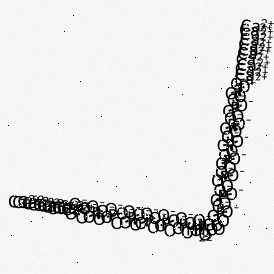 O.O.O.O=P([O-])([O-])[O-].O=P([O-])([O-])[O-].O=P([O-])([O-])[O-].O=P([O-])([O-])[O-].O=P([O-])([O-])[O-].O=P([O-])([O-])[O-].O=P([O-])([O-])[O-].O=P([O-])([O-])[O-].O=P([O-])([O-])[O-].O=P([O-])([O-])[O-].O=P([O-])([O-])[O-].O=P([O-])([O-])[O-].O=P([O-])([O-])[O-].O=P([O-])([O-])[O-].O=P([O-])([O-])[O-].O=P([O-])([O-])[O-].[Ca+2].[Ca+2].[Ca+2].[Ca+2].[Ca+2].[Ca+2].[Ca+2].[Ca+2].[Ca+2].[Ca+2].[Ca+2].[Ca+2].[Ca+2].[Ca+2].[Ca+2].[Ca+2].[Ca+2].[Ca+2].[Ca+2].[Ca+2].[Ca+2].[Ca+2].[Ca+2].[Ca+2]